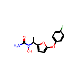 CC(c1ccc(Oc2ccc(F)cc2)o1)N(O)C(N)=O